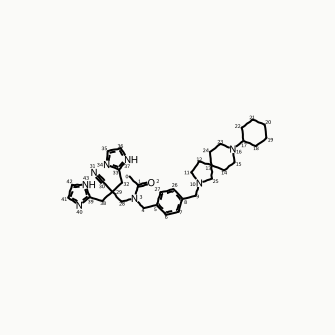 CC(=O)N(Cc1ccc(CN2CCC3(CCN(C4CCCCC4)CC3)C2)cc1)CC(C#N)(Cc1ncc[nH]1)Cc1ncc[nH]1